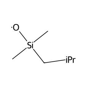 CC(C)C[Si](C)(C)[O]